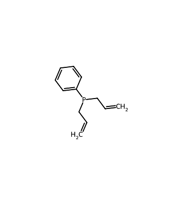 C=CCP(CC=C)c1ccccc1